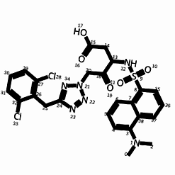 CN(C)c1cccc2c(S(=O)(=O)NC(CC(=O)O)C(=O)Cn3nnc(Cc4c(Cl)cccc4Cl)n3)cccc12